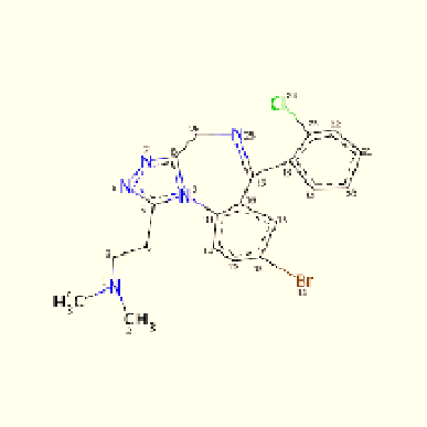 CN(C)CCc1nnc2n1-c1ccc(Br)cc1C(c1ccccc1Cl)=NC2